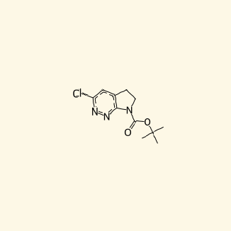 CC(C)(C)OC(=O)N1CCc2cc(Cl)nnc21